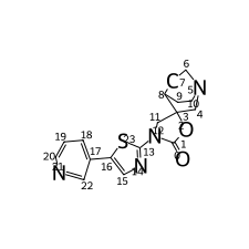 O=C1OC2(CN3CCC2CC3)CN1c1ncc(-c2cccnc2)s1